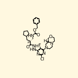 O=C(NC[C@@H](CC1CCCC1)C(=O)NNc1nc(Cl)nc(N2CCN3CCOC[C@H]3C2)c1F)OCc1ccccc1